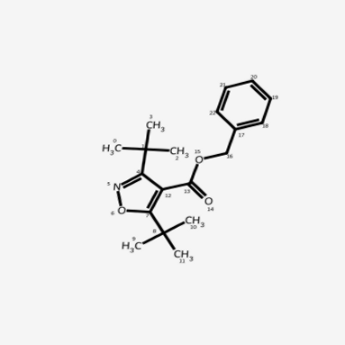 CC(C)(C)c1noc(C(C)(C)C)c1C(=O)OCc1ccccc1